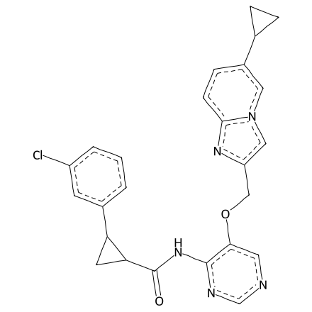 O=C(Nc1ncncc1OCc1cn2cc(C3CC3)ccc2n1)C1CC1c1cccc(Cl)c1